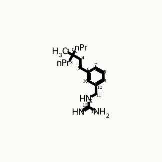 CCCC(C)(CCC)CCc1cccc(CNC(=N)N)c1